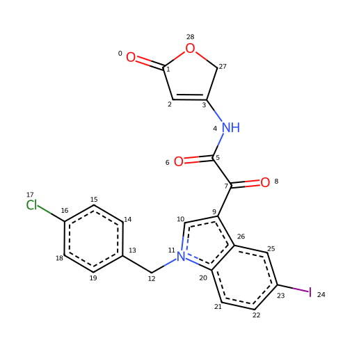 O=C1C=C(NC(=O)C(=O)c2cn(Cc3ccc(Cl)cc3)c3ccc(I)cc23)CO1